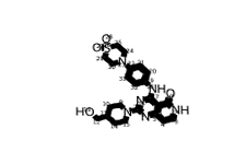 O=c1[nH]ccc2nc(N3CCC(CO)CC3)nc(Nc3ccc(N4CCS(=O)(=O)CC4)cc3)c12